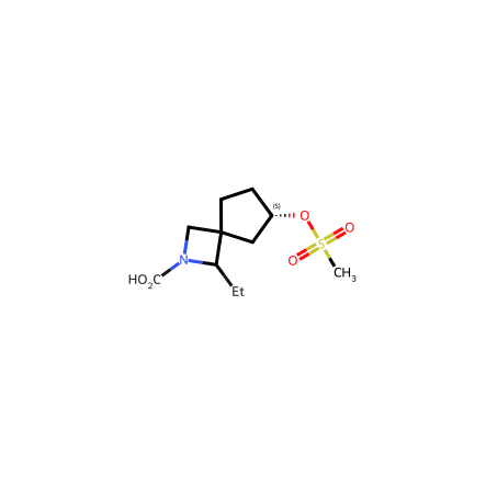 CCC1N(C(=O)O)CC12CC[C@H](OS(C)(=O)=O)C2